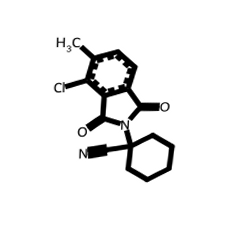 Cc1ccc2c(c1Cl)C(=O)N(C1(C#N)CCCCC1)C2=O